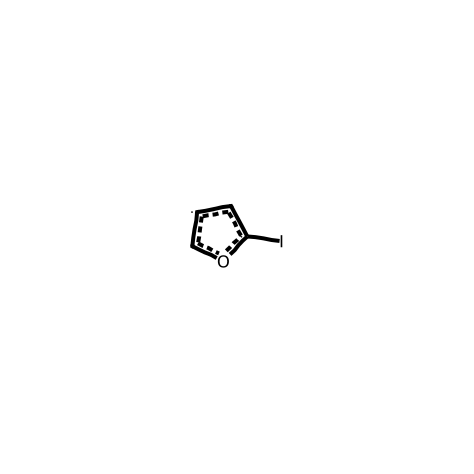 Ic1c[c]co1